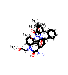 COCCN1C(=O)[C@@H](N)c2ccccc2-c2c1cccc2N(C(=O)OC(C)(C)C)[N@+]1(CCOC)C(=O)Cc2ccccc2-c2ccccc21